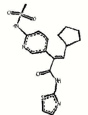 CS(=O)(=O)Nc1ccc(/C(=C\C2CCCC2)C(=O)Nc2nccs2)cn1